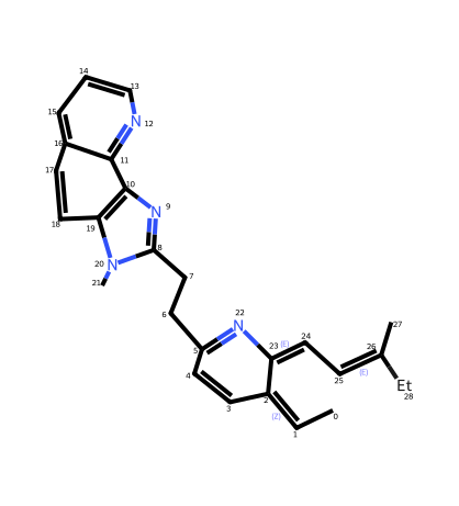 C/C=c1/ccc(CCc2nc3c4ncccc4ccc3n2C)n/c1=C/C=C(\C)CC